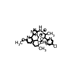 COc1cccc(-c2nnc(NS(=O)(=O)C(C)C(OC)c3ncc(Cl)cn3)n2C[C@@H]2CCC[C@@H](C)O2)n1